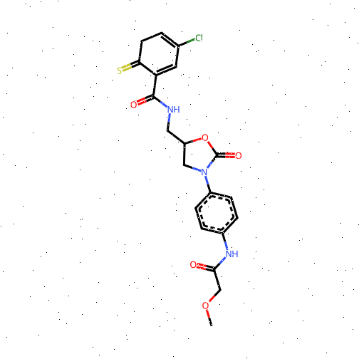 COCC(=O)Nc1ccc(N2CC(CNC(=O)C3=CC(Cl)=CCC3=S)OC2=O)cc1